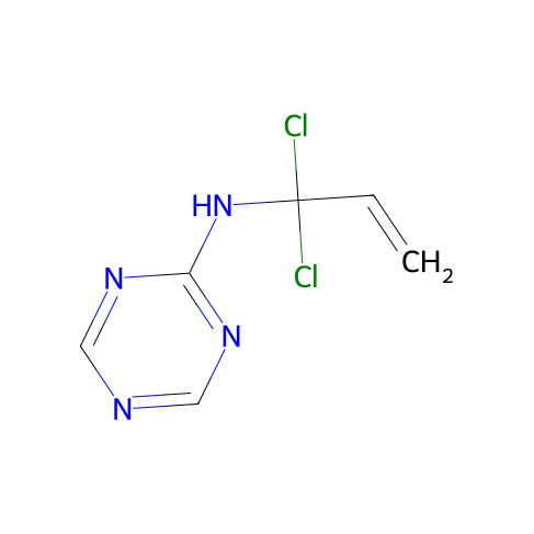 C=CC(Cl)(Cl)Nc1ncncn1